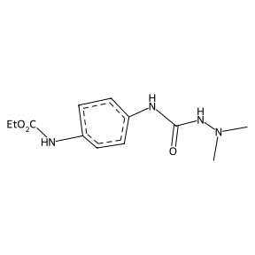 CCOC(=O)Nc1ccc(NC(=O)NN(C)C)cc1